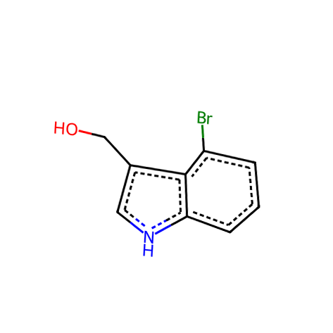 OCc1c[nH]c2cccc(Br)c12